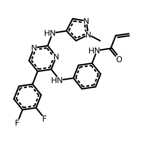 C=CC(=O)Nc1cccc(Nc2nc(Nc3cnn(C)c3)ncc2-c2ccc(F)c(F)c2)c1